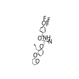 C=CCc1c(OCC(C)(C#N)NC(=O)c2ccc(OC(F)(F)F)cc2)cccc1OC1CCCCO1